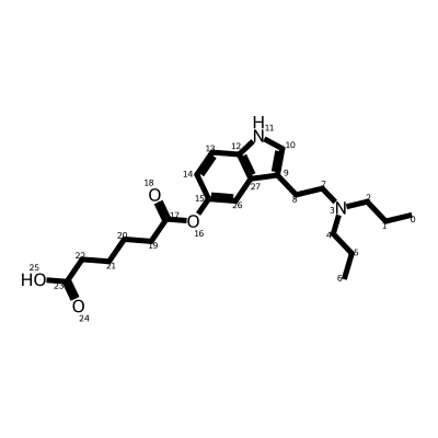 CCCN(CCC)CCc1c[nH]c2ccc(OC(=O)CCCCC(=O)O)cc12